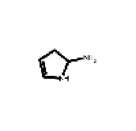 NC1CC=CN1